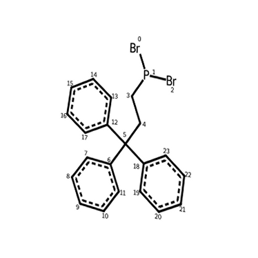 BrP(Br)CCC(c1ccccc1)(c1ccccc1)c1ccccc1